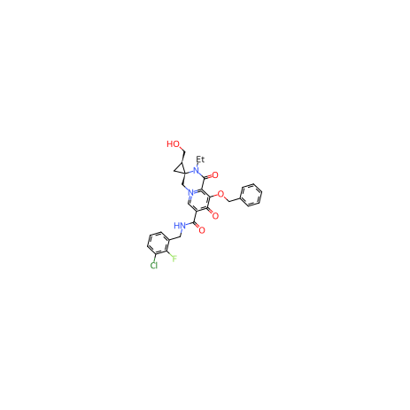 CCN1C(=O)c2c(OCc3ccccc3)c(=O)c(C(=O)NCc3cccc(Cl)c3F)cn2C[C@]12C[C@H]2CO